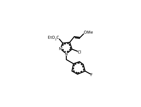 CCOC(=O)c1nn(Cc2ccc(F)cc2)c(Cl)c1C=COC